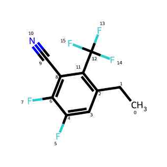 CCc1cc(F)c(F)c(C#N)c1C(F)(F)F